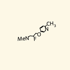 CNCC(F)COc1ccc(C)nc1